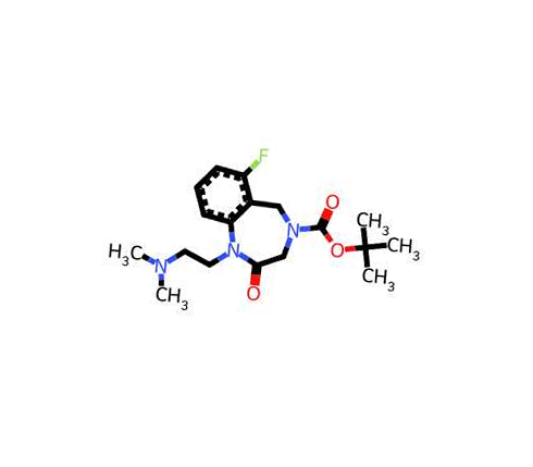 CN(C)CCN1C(=O)CN(C(=O)OC(C)(C)C)Cc2c(F)cccc21